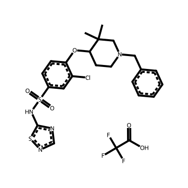 CC1(C)CN(Cc2ccccc2)CCC1Oc1ccc(S(=O)(=O)Nc2ncns2)cc1Cl.O=C(O)C(F)(F)F